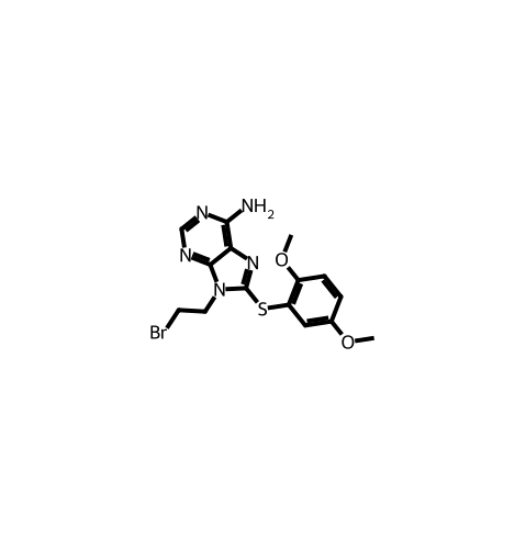 COc1ccc(OC)c(Sc2nc3c(N)ncnc3n2CCBr)c1